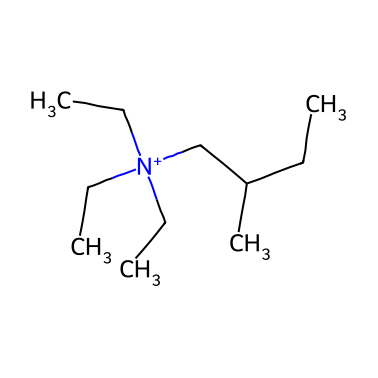 CCC(C)C[N+](CC)(CC)CC